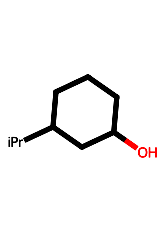 CC(C)C1CCCC(O)C1